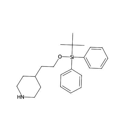 CC(C)(C)[Si](OCCC1CCNCC1)(c1ccccc1)c1ccccc1